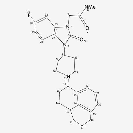 CNC(=O)Cn1c(=O)n(C2CCN(C3CCC4CCCc5cccc3c54)CC2)c2ccc(F)cc21